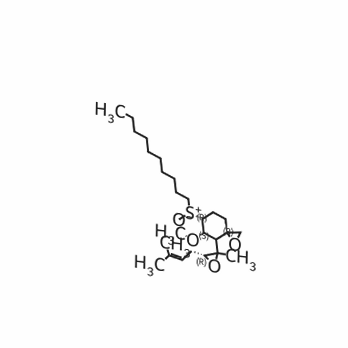 CCCCCCCCCC[S+]([O-])[C@@H]1CC[C@]2(CO2)C(C2(C)O[C@@H]2CC=C(C)C)[C@@H]1OC